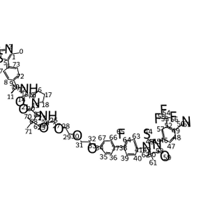 Cc1ncsc1-c1ccc([C@H](C)NC(=O)[C@@H]2CCCN2C(=O)[C@@H](NC(=O)COCCOCCOc2ccc(-c3ccc(N4C(=S)N(c5ccc(C#N)c(C(F)(F)F)c5)C(=O)C4(C)C)cc3F)cc2)C(C)(C)C)cc1